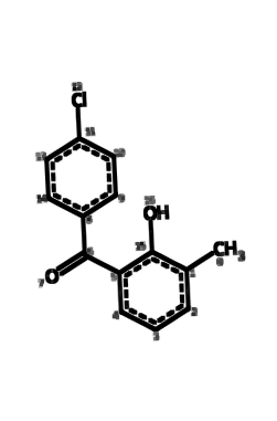 Cc1cccc(C(=O)c2ccc(Cl)cc2)c1O